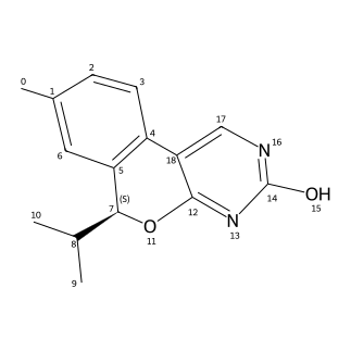 Cc1ccc2c(c1)[C@H](C(C)C)Oc1nc(O)ncc1-2